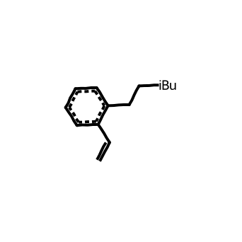 C=Cc1ccccc1CCC(C)CC